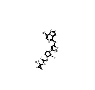 CC1(NC(=O)O[C@@H]2CC[C@H](c3cc(Nc4ncc(Br)n5nccc45)n[nH]3)[C@H]2F)CC1